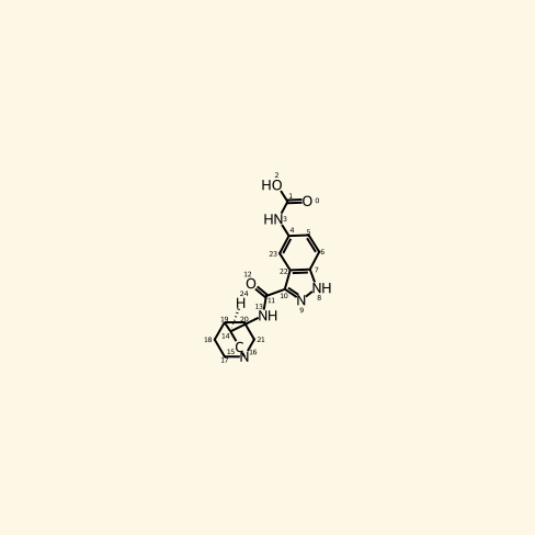 O=C(O)Nc1ccc2[nH]nc(C(=O)N[C@H]3CN4CCC3CC4)c2c1